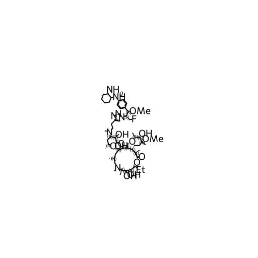 CC[C@H]1OC(=O)[C@H](C)[C@@H](C2C[C@@](C)(OC)[C@@H](O)[C@H](C)O2)[C@H](C)[C@@H](O[C@@H]2O[C@H](C)C[C@H](N(C)CCc3cn([C@H](CF)[C@H](OC)c4ccc(NC5CCCCC5N)cc4)nn3)[C@H]2O)[C@](C)(O)C[C@@H](C)CN(C)[C@H](C)[C@@H](O)[C@]1(C)O